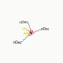 CCCCCCCCCCCCCCCCO[Si](OCCCCCCCCCCCCCCCC)(OCCCCCCCCCCCCCCCC)C(S)CCS